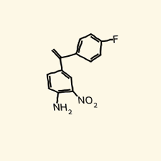 C=C(c1ccc(F)cc1)c1ccc(N)c([N+](=O)[O-])c1